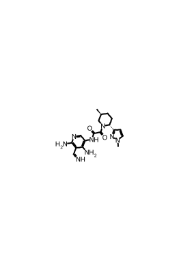 C[C@H]1CC[C@H](c2ccn(C)n2)N(C(=O)C(=O)Nc2cnc(N)c(C=N)c2N)C1